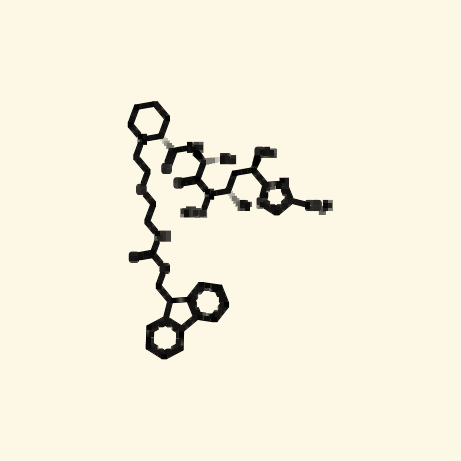 CCCCCCN(C(=O)[C@@H](NC(=O)[C@H]1CCCCN1CCOCCNC(=O)OCC1c2ccccc2-c2ccccc21)[C@@H](C)CC)[C@H](C[C@@H](OC(C)=O)c1nc(C(=O)O)cs1)C(C)C